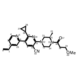 C=Cc1ccnc(-c2cc(C#N)c(N3CCN(C(=O)CCOC)[C@H](C)C3)nc2C2CC2)c1